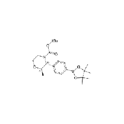 C[C@H]1OCCN(C(=O)OC(C)(C)C)[C@@H]1c1ccc(B2OC(C)(C)C(C)(C)O2)cc1